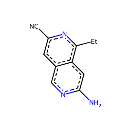 CCc1nc(C#N)cc2cnc(N)cc12